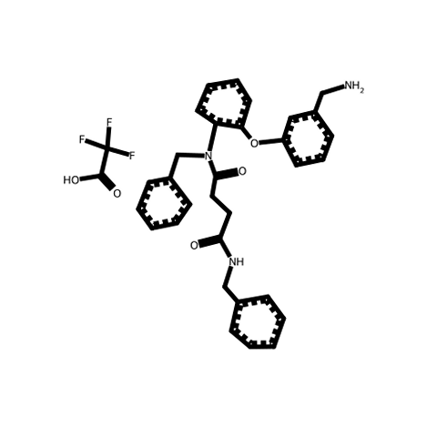 NCc1cccc(Oc2ccccc2N(Cc2ccccc2)C(=O)CCC(=O)NCc2ccccc2)c1.O=C(O)C(F)(F)F